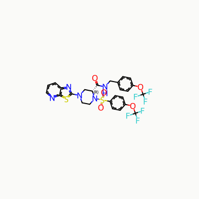 O=C(NCc1ccc(OC(F)(F)F)cc1)[C@H]1CN(c2nc3cccnc3s2)CCN1S(=O)(=O)c1ccc(OC(F)(F)F)cc1